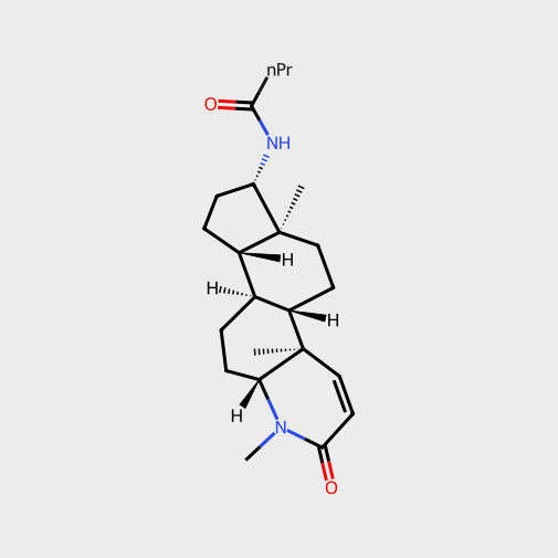 CCCC(=O)N[C@H]1CC[C@H]2[C@@H]3CC[C@H]4N(C)C(=O)C=C[C@]4(C)[C@H]3CC[C@]12C